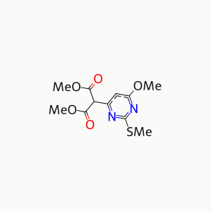 COC(=O)C(C(=O)OC)c1cc(OC)nc(SC)n1